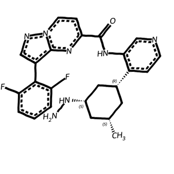 C[C@@H]1C[C@H](NN)C[C@H](c2ccncc2NC(=O)c2ccn3ncc(-c4c(F)cccc4F)c3n2)C1